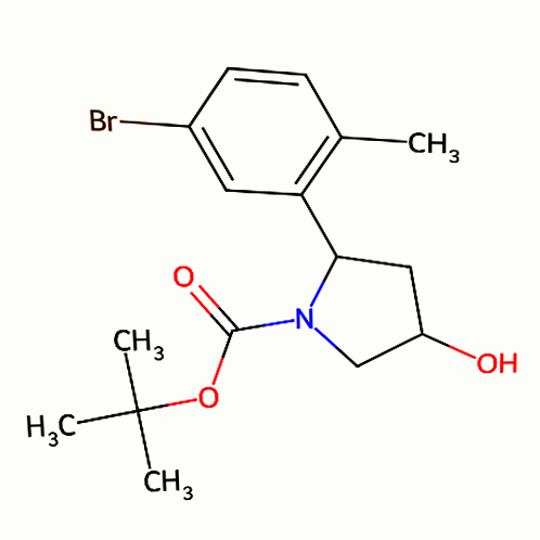 Cc1ccc(Br)cc1C1CC(O)CN1C(=O)OC(C)(C)C